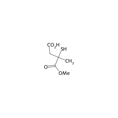 COC(=O)C(C)(S)CC(=O)O